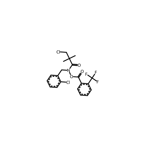 CC(C)(CCl)C(=O)N(Cc1ccccc1Cl)OC(=O)c1ccccc1C(F)(F)F